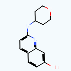 Oc1ccc2ccc(NC3CCOCC3)nc2c1